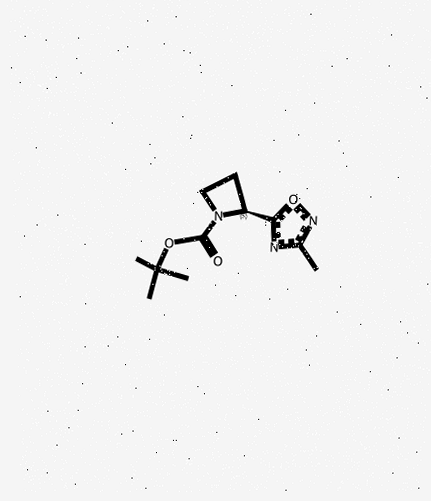 Cc1noc([C@@H]2CCN2C(=O)OC(C)(C)C)n1